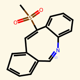 CS(=O)(=O)C1=Cc2ccccc2/C=N\c2ccccc21